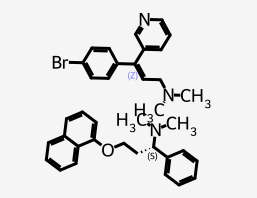 CN(C)C/C=C(/c1ccc(Br)cc1)c1cccnc1.CN(C)[C@@H](CCOc1cccc2ccccc12)c1ccccc1